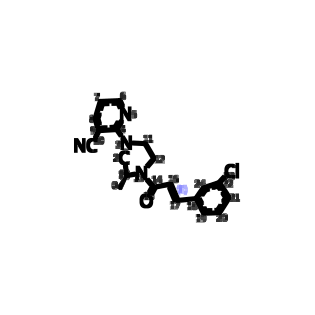 C[C@H]1CN(c2ncccc2C#N)CCN1C(=O)/C=C/c1cccc(Cl)c1